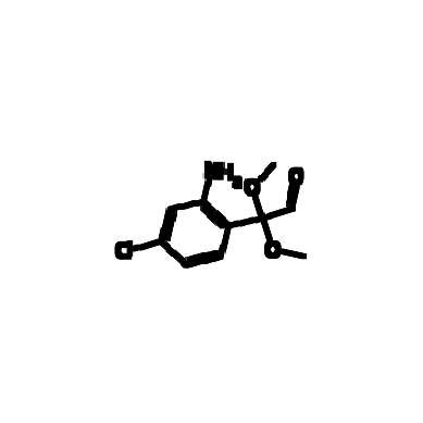 COC(C=O)(OC)c1ccc(Cl)cc1N